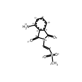 CS(=O)(=O)/C=C/N1C(=O)c2cccc(N)c2C1=O